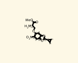 COC(=O)[C@@H](N)COc1cc2nc(C3CC3)oc2cc1[N+](=O)[O-]